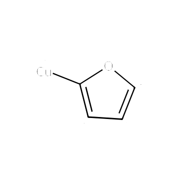 [Cu][c]1ccco1